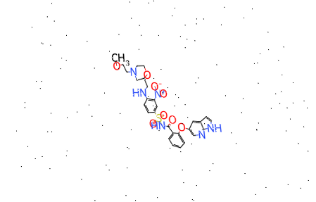 COCCN1CCOC(CNc2ccc(S(=O)(=O)NC(=O)c3ccccc3Oc3cnc4[nH]ccc4c3)cc2[N+](=O)[O-])C1